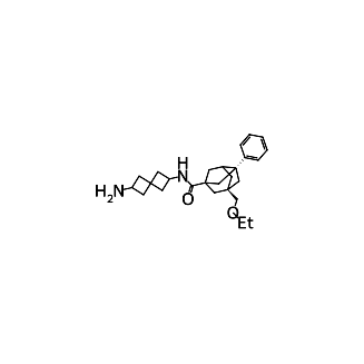 CCOC[C@]12CC3CC(C(=O)NC4CC5(CC(N)C5)C4)(C1)C[C@]3(c1ccccc1)C2